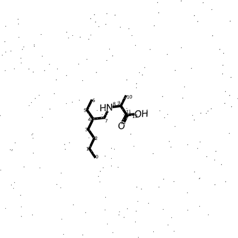 CCCCC(CC)CNC(C)C(=O)O